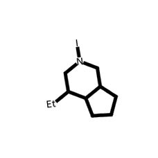 CCC1CN(I)CC2CCCC12